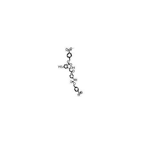 O=C(N[C@@H]1CCN(C(=O)CC(O)[C@@H]2C[C@H](S)CN2C(=O)OCc2ccc([N+](=O)[O-])cc2)C1)OCc1ccc([N+](=O)[O-])cc1